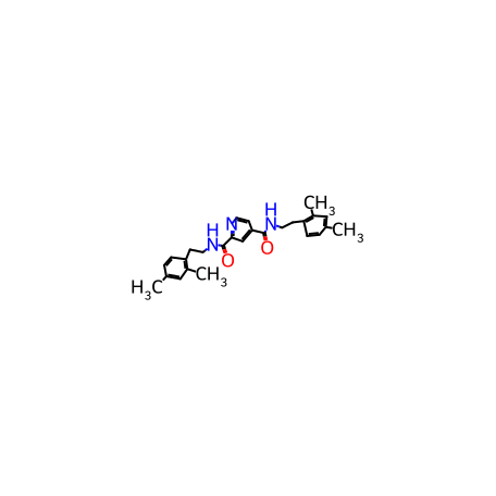 Cc1ccc(CCNC(=O)c2ccnc(C(=O)NCCc3ccc(C)cc3C)c2)c(C)c1